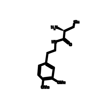 COc1ccc(CCNC(=O)[C@H](N)CC(C)(C)C)cc1OC